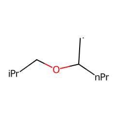 [CH2]C(CCC)OCC(C)C